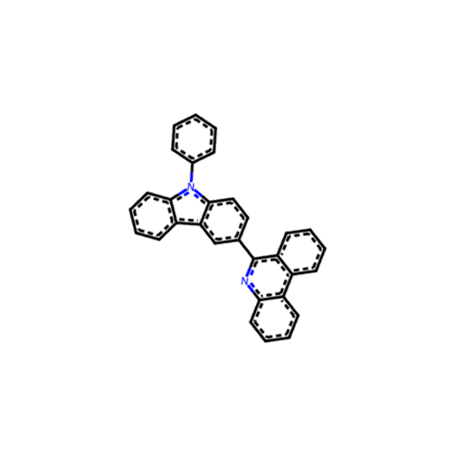 c1ccc(-n2c3ccccc3c3cc(-c4nc5ccccc5c5ccccc45)ccc32)cc1